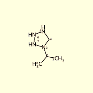 CC(C)N1CNNN1